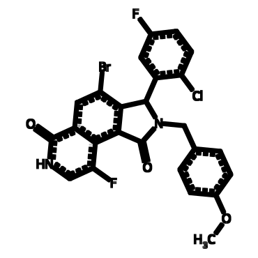 COc1ccc(CN2C(=O)c3c(c(Br)cc4c(=O)[nH]cc(F)c34)C2c2cc(F)ccc2Cl)cc1